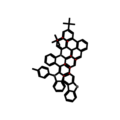 Cc1ccc(-n2c3ccccc3c3cccc(-c4ccccc4N(c4cccc(-c5ccc6c(c5)oc5ccccc56)c4)c4ccccc4-c4cccc5cccc(-c6cc(C(C)(C)C)cc(C(C)(C)C)c6)c45)c32)cc1